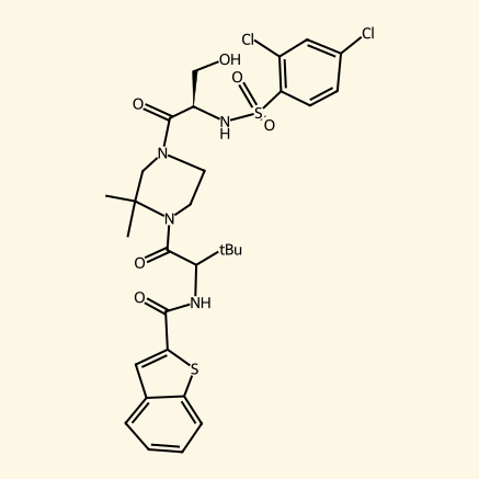 CC(C)(C)C(NC(=O)c1cc2ccccc2s1)C(=O)N1CCN(C(=O)[C@@H](CO)NS(=O)(=O)c2ccc(Cl)cc2Cl)CC1(C)C